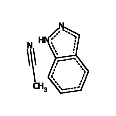 CC#N.c1ccc2[nH]ncc2c1